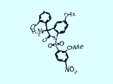 CCOc1ccc2c(c1)C(N)(c1ccccc1Cl)C(=O)N2S(=O)(=O)c1ccc([N+](=O)[O-])cc1OC